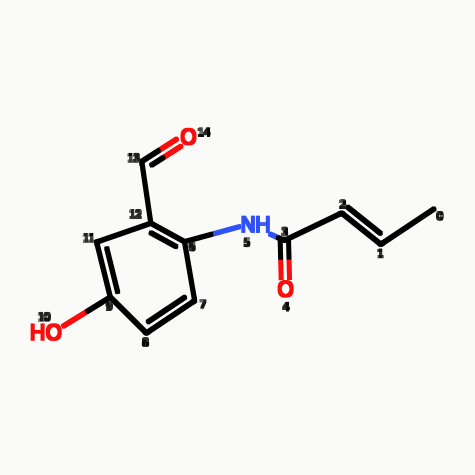 C/C=C/C(=O)Nc1ccc(O)cc1C=O